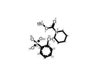 CC(C)(C)OC(=O)N1CCCCC1.Cc1ccccc1S([O])(=O)=O